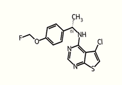 C[C@H](Nc1ncnc2scc(Cl)c12)c1ccc(OCF)cc1